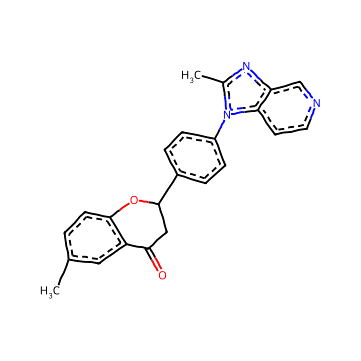 Cc1ccc2c(c1)C(=O)CC(c1ccc(-n3c(C)nc4cnccc43)cc1)O2